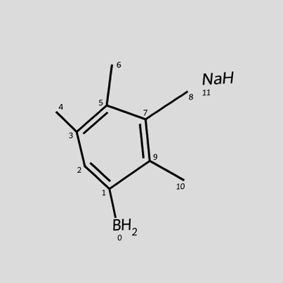 Bc1cc(C)c(C)c(C)c1C.[NaH]